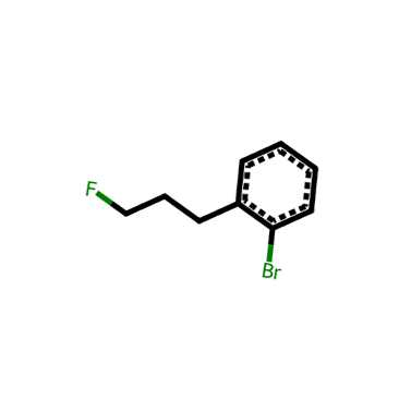 FCCCc1ccccc1Br